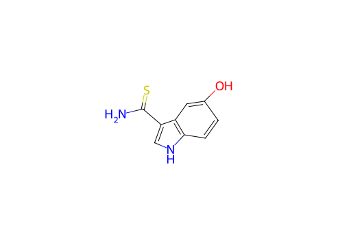 NC(=S)c1c[nH]c2ccc(O)cc12